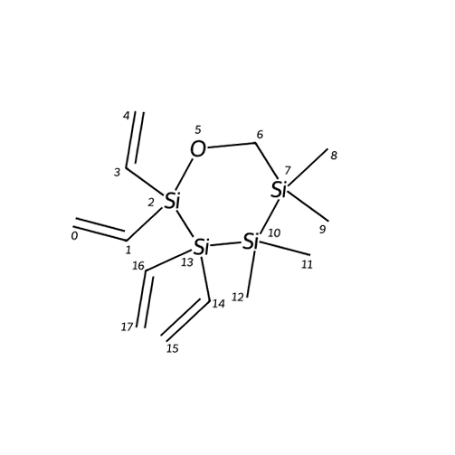 C=C[Si]1(C=C)OC[Si](C)(C)[Si](C)(C)[Si]1(C=C)C=C